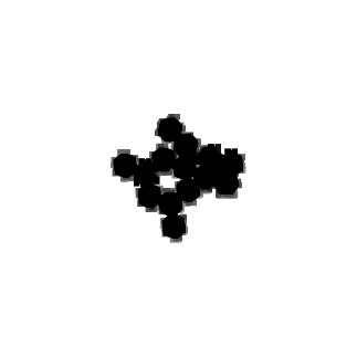 c1ccc(-c2cc(-c3ccccc3)cc(-c3cccc(-c4nc(-c5ccccc5)nc(-c5cccc(-c6cccc7c6c6cc(-c8ccccc8)ccc6n7-c6cnc7c(c6)C6(c8ccccc8-c8ccccc86)c6cccnc6-7)c5)n4)c3)c2)cc1